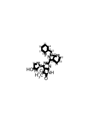 CC1(C)C(=O)Nc2nc(-c3nn(Cc4ccccc4F)c4ncccc34)nc(-n3cc(O)cn3)c21